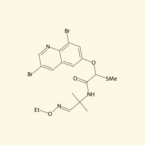 CCON=CC(C)(C)NC(=O)C(Oc1cc(Br)c2ncc(Br)cc2c1)SC